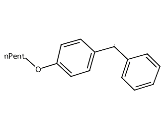 CCCCCOc1ccc([CH]c2ccccc2)cc1